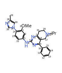 COc1cc(Nc2nc3c(c(-c4ccccc4)n2)CN(C(C)C)CC3)ccc1-n1cnc(C)c1